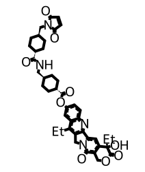 CCc1c2c(nc3ccc(OC(=O)[C@H]4CC[C@H](CNC(=O)[C@H]5CC[C@H](CN6C(=O)C=CC6=O)CC5)CC4)cc13)-c1cc3c(c(=O)n1C2)COC(=O)[C@]3(O)CC